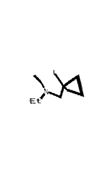 CCN(C)CC1(I)CC1